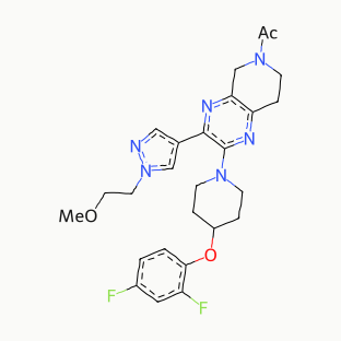 COCCn1cc(-c2nc3c(nc2N2CCC(Oc4ccc(F)cc4F)CC2)CCN(C(C)=O)C3)cn1